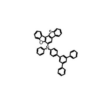 c1ccc(-c2cc(-c3ccccc3)cc(-c3ccc(N(c4ccccc4)c4cc5c6ccccc6sc5c5c4oc4ccccc45)cc3)c2)cc1